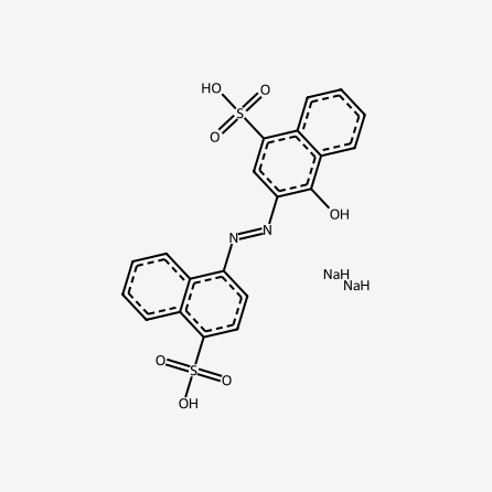 O=S(=O)(O)c1ccc(N=Nc2cc(S(=O)(=O)O)c3ccccc3c2O)c2ccccc12.[NaH].[NaH]